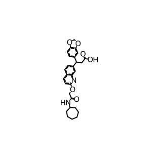 O=C(O)CC(c1ccc2c(c1)OCO2)c1ccc2ccc(OCC(=O)NC3CCCCCC3)nc2c1